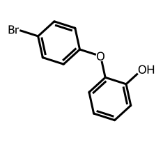 Oc1ccccc1Oc1ccc(Br)cc1